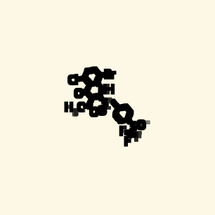 CC(=O)c1c([S+]([O-])Cc2ccc([S+]([O-])C(F)(F)F)cc2)[nH]c2c(Br)ccc(Cl)c2c1=O